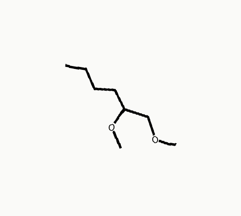 CCCCC(COC)OC